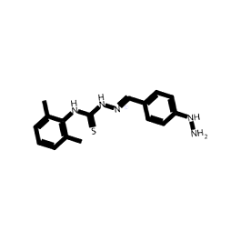 Cc1cccc(C)c1NC(=S)N/N=C/c1ccc(NN)cc1